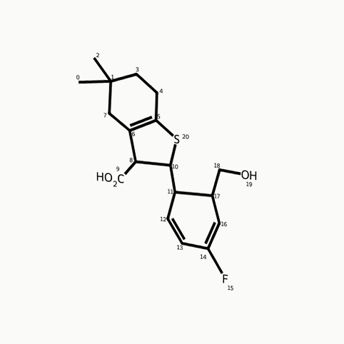 CC1(C)CCC2=C(C1)C(C(=O)O)C(C1C=CC(F)=CC1CO)S2